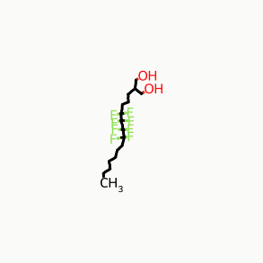 CCCCCCCC(F)(F)C(F)(F)C(F)(F)C(F)(F)CCCC(CO)CO